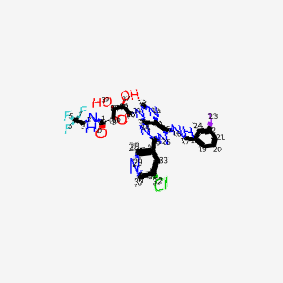 O=C(NCC(F)(F)F)[C@H]1O[C@@H](n2cnc3c(NCc4cccc(I)c4)nc(-c4cncc(Cl)c4)nc32)[C@H](O)[C@@H]1O